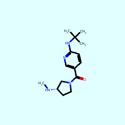 CN[C@H]1CCN(C(=O)c2ccc(NC(C)(C)C)nc2)C1